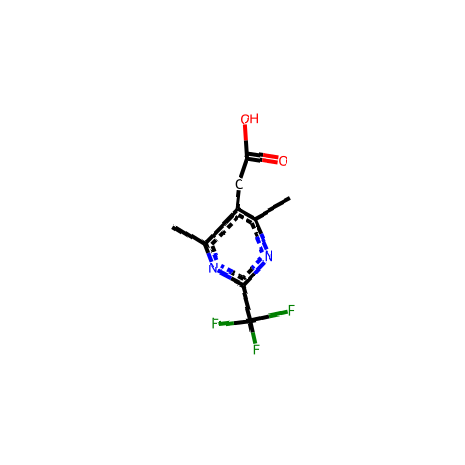 Cc1nc(C(F)(F)F)nc(C)c1CC(=O)O